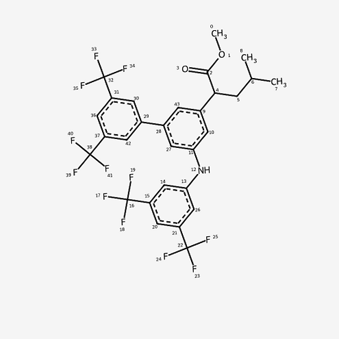 COC(=O)C(CC(C)C)c1cc(Nc2cc(C(F)(F)F)cc(C(F)(F)F)c2)cc(-c2cc(C(F)(F)F)cc(C(F)(F)F)c2)c1